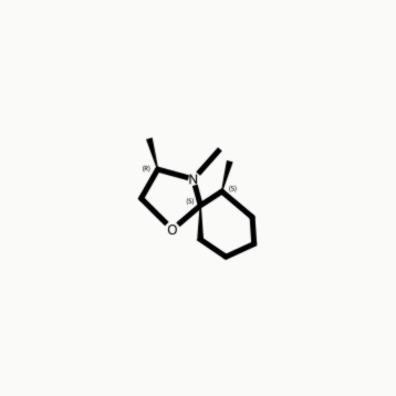 C[C@@H]1CO[C@]2(CCCC[C@@H]2C)N1C